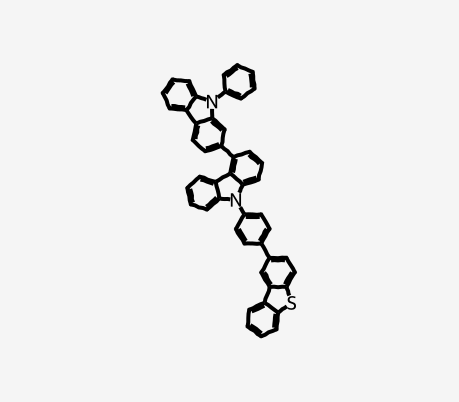 c1ccc(-n2c3ccccc3c3ccc(-c4cccc5c4c4ccccc4n5-c4ccc(-c5ccc6sc7ccccc7c6c5)cc4)cc32)cc1